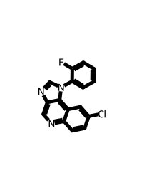 Fc1ccccc1-n1cnc2cnc3ccc(Cl)cc3c21